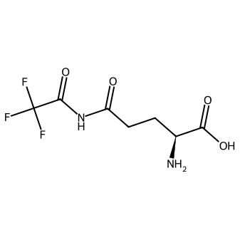 N[C@@H](CCC(=O)NC(=O)C(F)(F)F)C(=O)O